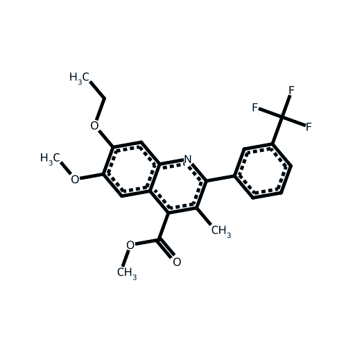 CCOc1cc2nc(-c3cccc(C(F)(F)F)c3)c(C)c(C(=O)OC)c2cc1OC